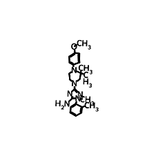 COc1ccc(N2CCN(C3=N[N+](C)(c4ccccc4C)C(N)=N3)CC2(C)C)cc1